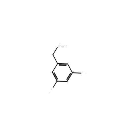 CCCC(C)Cc1cc(F)cc(F)c1